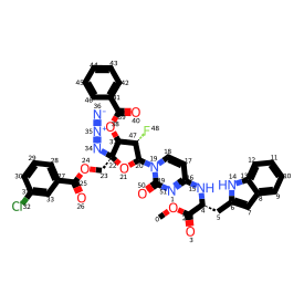 COC(=O)[C@@H](Cc1cc2ccccc2[nH]1)Nc1ccn(C2O[C@@](COC(=O)c3cccc(Cl)c3)(N=[N+]=[N-])C(OC(=O)c3ccccc3)[C@@H]2F)c(=O)n1